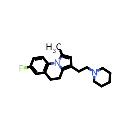 Cc1cc(CCN2CCCCC2)c2n1-c1ccc(F)cc1CC2